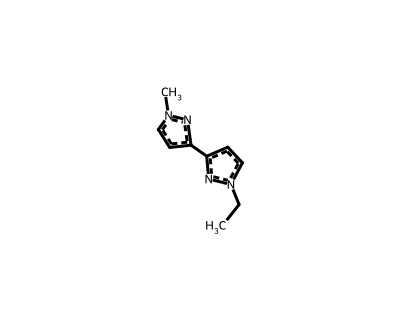 CCn1ccc(-c2ccn(C)n2)n1